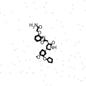 COc1ccc([C@H]2CNC(=O)[C@H](Cc3nc4c(OCC(N)=O)cccc4o3)C2)cc1OC1CCCC1